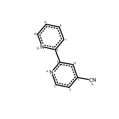 N#Cc1ccnc(-c2cc[c]cn2)c1